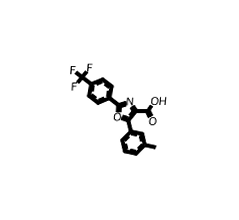 Cc1cccc(-c2oc(-c3ccc(C(F)(F)F)cc3)nc2C(=O)O)c1